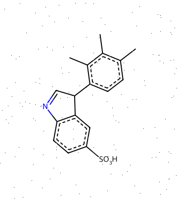 Cc1ccc(C2C=Nc3ccc(S(=O)(=O)O)cc32)c(C)c1C